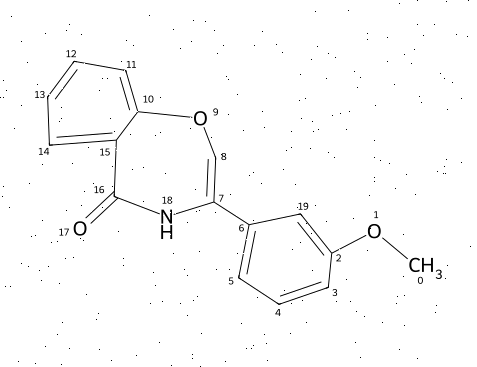 COc1cccc(C2=COc3ccccc3C(=O)N2)c1